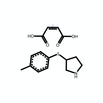 Cc1ccc(SC2CCNC2)cc1.O=C(O)/C=C\C(=O)O